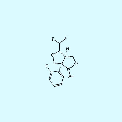 CC(=O)N1OC[C@@H]2C(C(F)F)OC[C@@]21c1ccccc1F